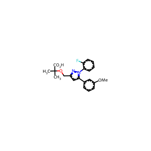 COc1cccc(-c2cc(COC(C)(C)C(=O)O)nn2-c2ccccc2F)c1